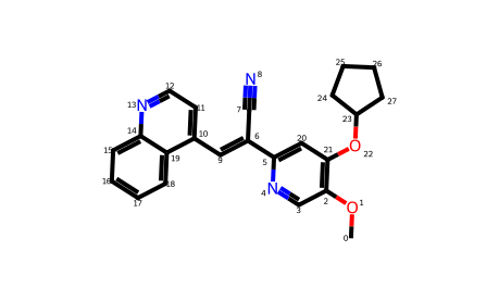 COc1cnc(C(C#N)=Cc2ccnc3ccccc23)cc1OC1CCCC1